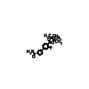 CC1(C)OB(c2ccc(N3CC[C@H](C(N)=O)C3)cc2F)OC1(C)C